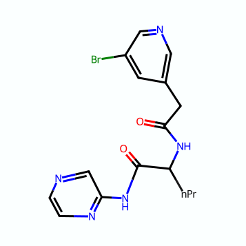 CCCC(NC(=O)Cc1cncc(Br)c1)C(=O)Nc1cnccn1